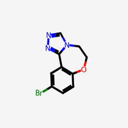 Brc1ccc2c(c1)-c1nncn1CCO2